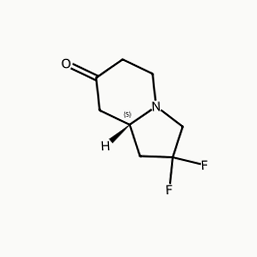 O=C1CCN2CC(F)(F)C[C@@H]2C1